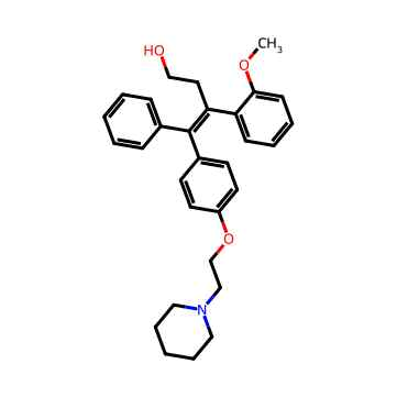 COc1ccccc1C(CCO)=C(c1ccccc1)c1ccc(OCCN2CCCCC2)cc1